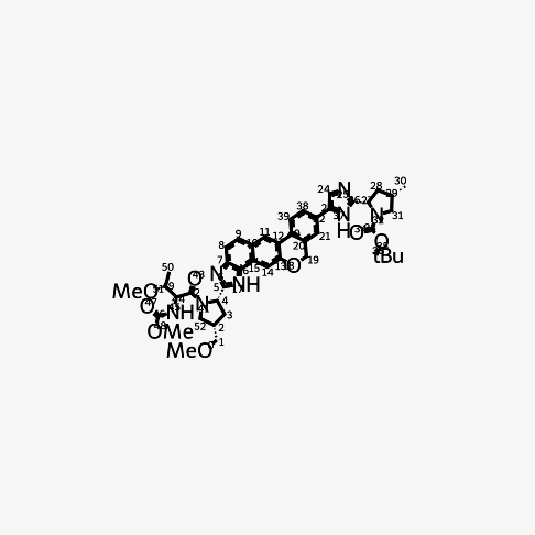 COC[C@H]1C[C@@H](c2nc3ccc4cc5c(cc4c3[nH]2)OCc2cc(-c3cnc([C@@H]4C[C@H](C)CN4C(=O)OC(C)(C)C)[nH]3)ccc2-5)N(C(=O)[C@@H](NC(=O)OC)[C@@H](C)OC)C1